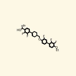 CCCC(O)c1ccc(C2=CCC(COc3ccc(-c4ccc(OCC)c(F)c4F)cc3F)CC2)c(F)c1F